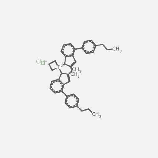 CCCc1ccc(-c2cccc3c2C=C(C)[CH]3[Ti+2]2([CH]3C(C)=Cc4c(-c5ccc(CCC)cc5)cccc43)[CH2]C[CH2]2)cc1.[Cl-].[Cl-]